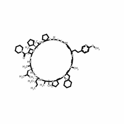 CC[C@H](C)[C@H]1CN[C@@H](CC(C)C)C(C)NCC2[C@@H](C(=O)N3CCCCC3)C(C)N2[C@@H](C2CCCC2)C(C)NC2(CCCC2)CNCCNC=CC(CCc2ccc(OC)nc2)=NC=CN(C)C=C(CC2CCCCC2)N(C)C=C2CCCN2[C@@H](C)C(C)N1